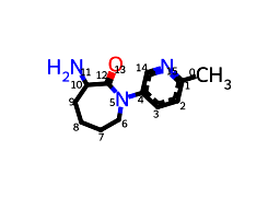 Cc1ccc(N2CCCCC(N)C2=O)cn1